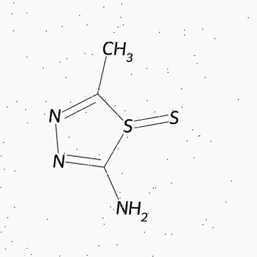 CC1=NN=C(N)S1=S